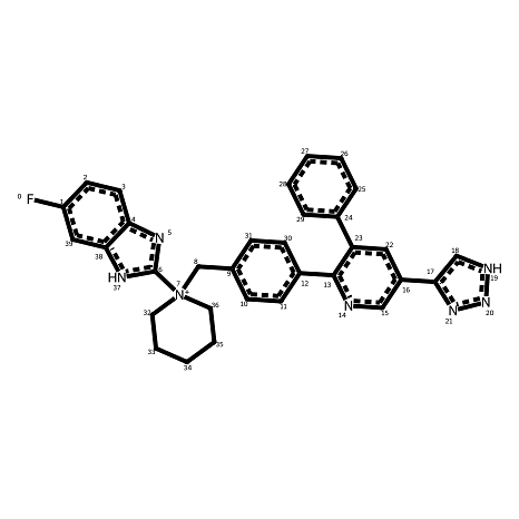 Fc1ccc2nc([N+]3(Cc4ccc(-c5ncc(-c6c[nH]nn6)cc5-c5ccccc5)cc4)CCCCC3)[nH]c2c1